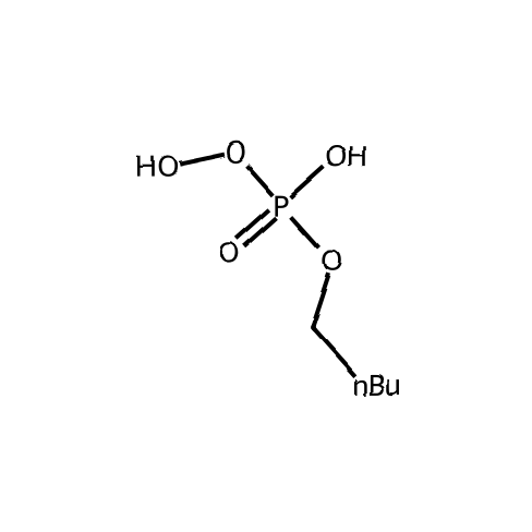 CCCCCOP(=O)(O)OO